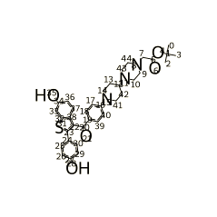 CC(C)(C)OC(=O)CN1CCN(C2CCN(c3ccc(C(=O)c4c(-c5ccc(O)cc5)sc5cc(O)ccc45)cc3)CC2)CC1